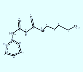 CCCCCNC(=O)NC(=N)Nc1ccccn1